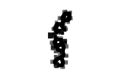 c1ccc(-c2ccc(NC3C[C@@H]4CN(CC5CCOCC5)C[C@@H]4C3)nn2)cc1